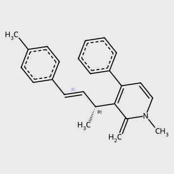 C=C1C([C@H](C)/C=C/c2ccc(C)cc2)=C(c2ccccc2)C=CN1C